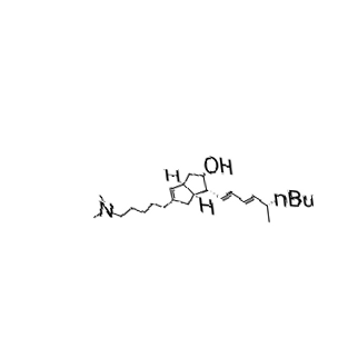 CCCC[C@H](C)/C=C/C=C/[C@@H]1[C@H]2CC(CCCCCN(C)C)=C[C@H]2C[C@H]1O